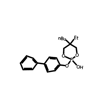 CCCCC1(CC)CO[P](O)(Oc2ccc(-c3ccccc3)cc2)OC1